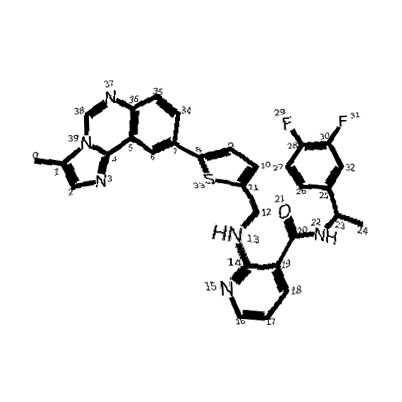 Cc1cnc2c3cc(-c4ccc(CNc5ncccc5C(=O)NC(C)c5ccc(F)c(F)c5)s4)ccc3ncn12